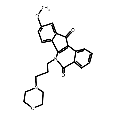 COc1ccc2c(c1)C(=O)c1c-2n(CCCN2CCOCC2)c(=O)c2ccccc12